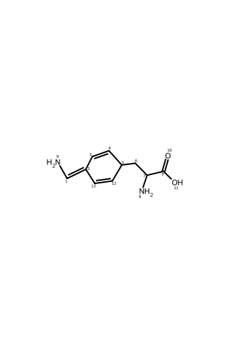 NC=C1C=CC(CC(N)C(=O)O)C=C1